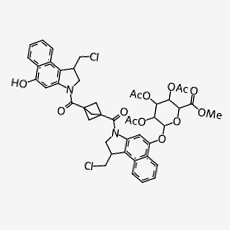 COC(=O)C1OC(Oc2cc3c(c4ccccc24)C(CCl)CN3C(=O)C23CC(C(=O)N4CC(CCl)c5c4cc(O)c4ccccc54)(C2)C3)C(OC(C)=O)C(OC(C)=O)C1OC(C)=O